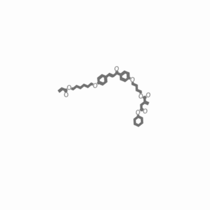 C=CC(=O)OCCCCCCOc1ccc(/C=C/C(=O)c2ccc(OCCCCOC(=O)C(=C)CC(=O)OC3CCCCC3)cc2)cc1